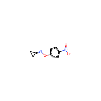 O=[N+]([O-])c1ccc(ON=C2CC2)cc1